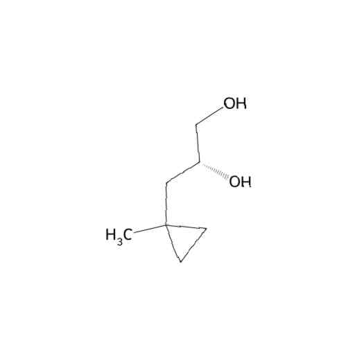 CC1(C[C@@H](O)CO)CC1